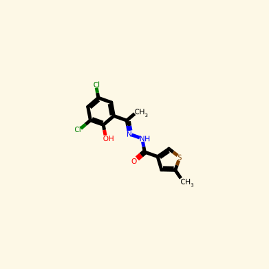 C/C(=N\NC(=O)c1csc(C)c1)c1cc(Cl)cc(Cl)c1O